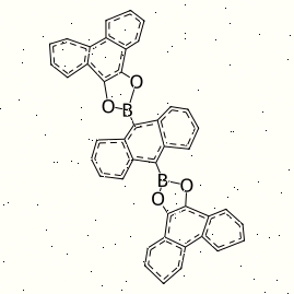 c1ccc2c(B3Oc4c(c5ccccc5c5ccccc45)O3)c3ccccc3c(B3Oc4c(c5ccccc5c5ccccc45)O3)c2c1